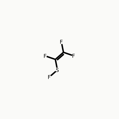 FSC(F)=C(F)F